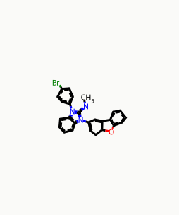 C/N=c1/n(C2=CCC3Oc4ccccc4C3=C2)c2ccccc2n1-c1ccc(Br)cc1